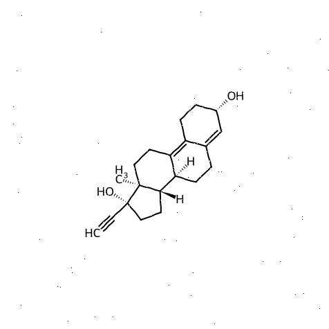 C#C[C@]1(O)CC[C@H]2[C@@H]3CCC4=C[C@@H](O)CCC4=C3CC[C@@]21C